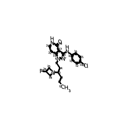 CCCC(CCn1nc(Nc2ccc(Cl)cc2)c2c(=O)[nH]ccc21)N1CC(F)C1